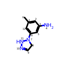 Cc1cc(N)cc(N2CC=NN2)c1